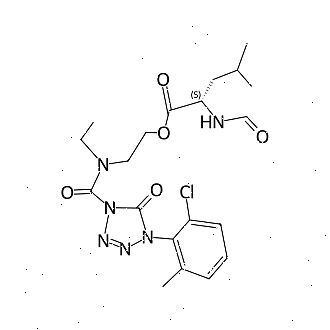 CCN(CCOC(=O)[C@H](CC(C)C)NC=O)C(=O)n1nnn(-c2c(C)cccc2Cl)c1=O